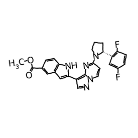 COC(=O)c1ccc2[nH]c(-c3cnn4ccc(N5CCC[C@@H]5c5cc(F)ccc5F)nc34)cc2c1